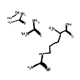 N=C(N)NCCCC(N)C(=O)O.NC(N)=S.NC(N)=S.OO